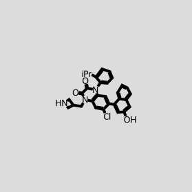 CC(C)c1ccccc1-n1c(=O)c(=O)n(CC2CNC2)c2cc(Cl)c(-c3cc(O)cc4ccccc34)cc21